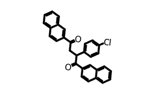 O=C(CC(C(=O)c1ccc2ccccc2c1)c1ccc(Cl)cc1)c1ccc2ccccc2c1